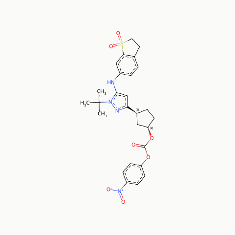 CC(C)(C)n1nc([C@H]2CC[C@@H](OC(=O)Oc3ccc([N+](=O)[O-])cc3)C2)cc1Nc1ccc2c(c1)S(=O)(=O)CC2